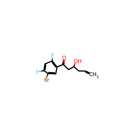 C=CCC(O)CC(=O)c1cc(Br)c(F)cc1F